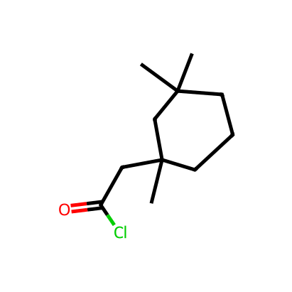 CC1(C)CCCC(C)(CC(=O)Cl)C1